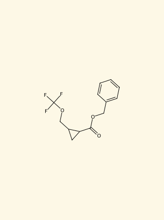 O=C(OCc1ccccc1)C1CC1COC(F)(F)F